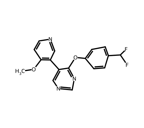 COc1ccncc1-c1cncnc1Oc1ccc(C(F)F)cc1